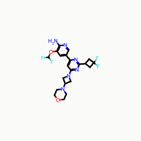 Nc1ncc(-c2cc(N3CC(N4CCOCC4)C3)nc(C3CC(F)(F)C3)n2)cc1OC(F)F